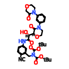 [C-]#[N+]c1ccc(NC(=O)[C@H](O)[C@H]2OCCN(c3cccc(N4CCOCC4=O)c3)C2=O)cc1CN(C(=O)OC(C)(C)C)C(=O)OC(C)(C)C